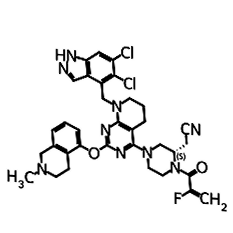 C=C(F)C(=O)N1CCN(c2nc(Oc3cccc4c3CCN(C)C4)nc3c2CCCN3Cc2c(Cl)c(Cl)cc3[nH]ncc23)C[C@@H]1CC#N